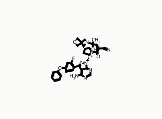 CC(C)(/C=C(/C#N)C(=O)N1CCC[C@H]1Cn1nc(-c2ccc(Oc3ccccc3)cc2F)c2c(N)ncnc21)N1CC2(COC2)C1